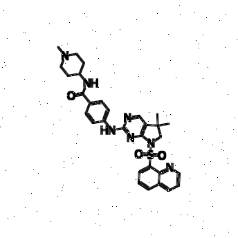 CN1CCC(NC(=O)c2ccc(Nc3ncc4c(n3)N(S(=O)(=O)c3cccc5cccnc35)CC4(C)C)cc2)CC1